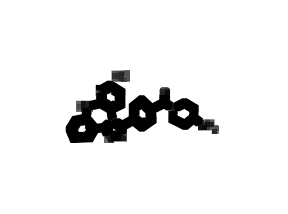 Cl.NC1CCN(C(=O)c2ccc(-c3nnc4n3-c3cccnc3Nc3ccccc3-4)cc2)CC1